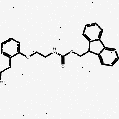 NCCc1ccccc1OCCNC(=O)OCC1c2ccccc2-c2ccccc21